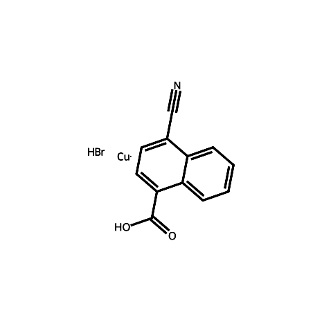 Br.N#Cc1ccc(C(=O)O)c2ccccc12.[Cu]